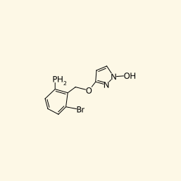 On1ccc(OCc2c(P)cccc2Br)n1